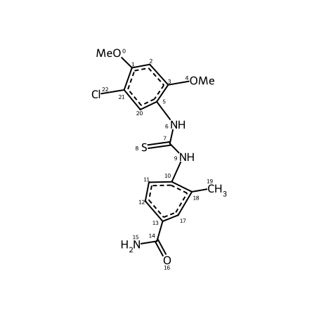 COc1cc(OC)c(NC(=S)Nc2ccc(C(N)=O)cc2C)cc1Cl